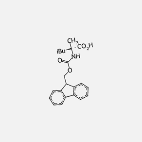 CC[C@H](C)[C@@](C)(NC(=O)OCC1c2ccccc2-c2ccccc21)C(=O)O